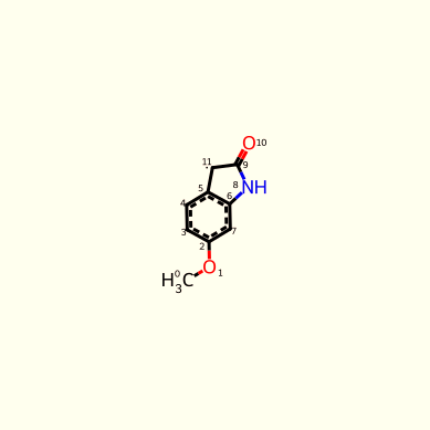 COc1ccc2c(c1)NC(=O)[CH]2